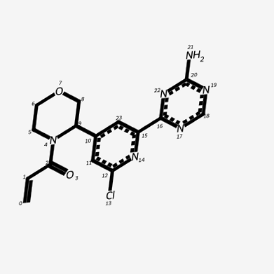 C=CC(=O)N1CCOCC1c1cc(Cl)nc(-c2ncnc(N)n2)c1